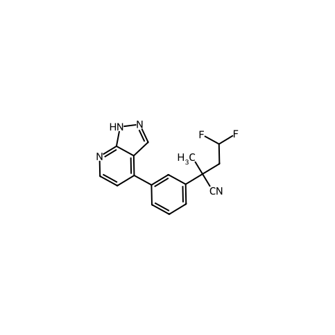 CC(C#N)(CC(F)F)c1cccc(-c2ccnc3[nH]ncc23)c1